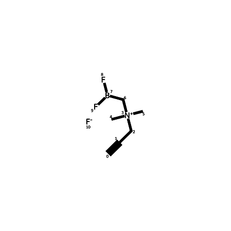 C#CC[N+](C)(C)CB(F)F.[F-]